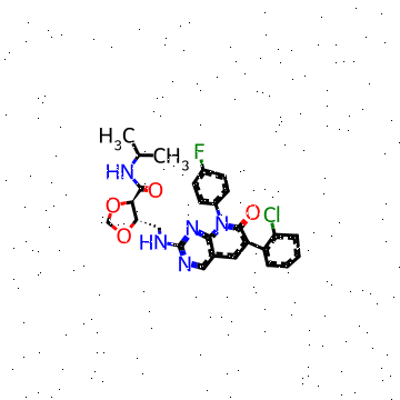 CC(C)NC(=O)[C@@H]1OCO[C@H]1CNc1ncc2cc(-c3ccccc3Cl)c(=O)n(-c3ccc(F)cc3)c2n1